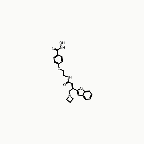 O=C(C=C(CN1CCC1)c1cc2ccccc2o1)NCCOc1ccc(C(=O)NO)cc1